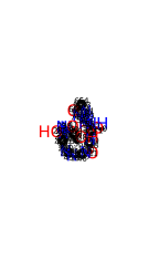 CCOc1cc(N2CCC(C(=O)N3CCC(CN4CCN(Cc5ccc(-n6c(O)nnc6-c6cc(CC)c(O)cc6O)cc5)CC4)CC3)CC2)ccc1Nc1ncc2c(n1)N(C)c1ccccc1C(=O)N2C